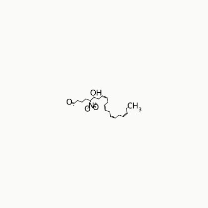 CC/C=C\C/C=C\C/C=C\C/C=C\CC(O)C(CCC[C]=O)[N+](=O)[O-]